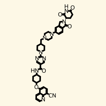 N#Cc1ccc(OC2CCC(NC(=O)c3cnc(N4CCC(CN5CCN(c6ccc7c(c6)CN([C@H]6CCC(=O)NC6=O)C7=O)CC5)CC4)nc3)CC2)c2cccnc12